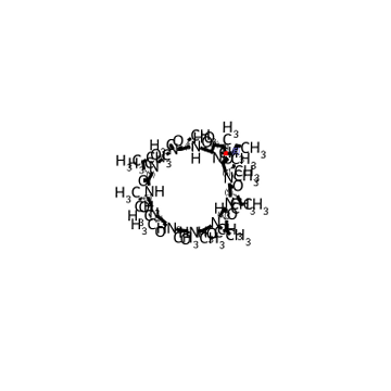 C/C=C/C[C@@H](C)[C@@H](O)C1C(=O)N[C@@H](CC)C(=O)N(C)CC(=O)N(C)[C@@H](CC(C)C)C(=O)N[C@@H](C(C)C)C(=O)N(C)[C@@H](C)C(=O)N[C@@H](C)C(=O)N[C@H](C)C(=O)N(C)[C@@H](CC(C)C)C(=O)N(C)[C@@H](CC(C)C)C(=O)N(C)[C@@H](C(C)C)C(=O)N1C